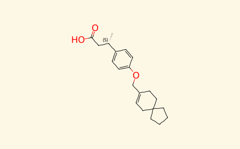 C[C@@H](CC(=O)O)c1ccc(OCC2=CCC3(CCCC3)CC2)cc1